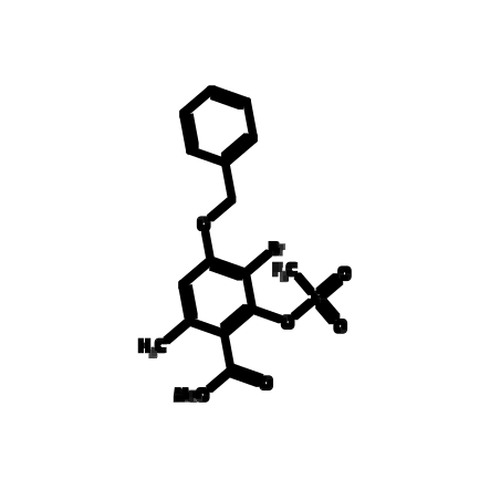 COC(=O)c1c(C)cc(OCc2ccccc2)c(Br)c1OS(=O)(=O)C(F)(F)F